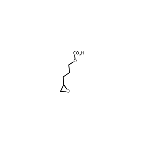 O=C(O)OCCCC1CO1